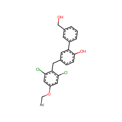 CC(=O)COc1cc(Cl)c(Cc2ccc(O)c(-c3cccc(CO)c3)c2)c(Cl)c1